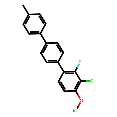 CCOc1ccc(-c2ccc(-c3ccc(C)cc3)cc2)c(F)c1Cl